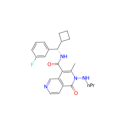 CCCNn1c(C)c(C(=O)N[C@H](c2cccc(F)c2)C2CCC2)c2cnccc2c1=O